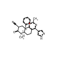 Cc1nc(-c2cn[nH]c2)c2c(n1)[C@@]1(c3ccccc3)CC(C#N)C(=O)[C@@H](C)[C@@H]1CC2